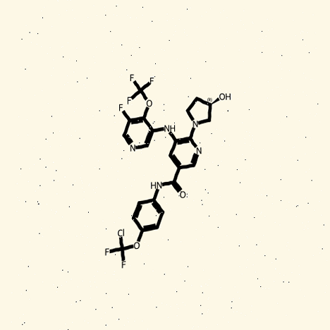 O=C(Nc1ccc(OC(F)(F)Cl)cc1)c1cnc(N2CC[C@@H](O)C2)c(Nc2cncc(F)c2OC(F)(F)F)c1